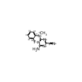 CN(c1nc(N)nc(C#N)n1)c1ccccc1F